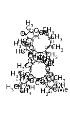 CC1=C2O[C@]3(O)C=C2C(=C(O)C1=O)[C@@H]1O[C@H](CC[C@H](C)/C=C(\C)C[C@@H](C)C[C@@H]3C)[C@H](C)[C@H](O)[C@H]1C.CC[C@H]1OC(=O)[C@H](C)[C@@H](O[C@H]2C[C@@](C)(OC)[C@@H](O)[C@H](C)O2)[C@H](C)[C@@H](O[C@@H]2O[C@H](C)C[C@H](N(C)C)[C@H]2O)[C@](C)(O)C[C@@H](C)C(=O)[C@H](C)[C@@H](O)[C@]1(C)O